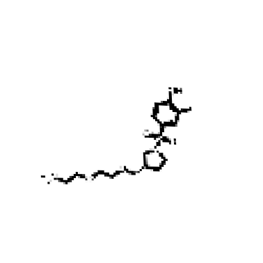 Cc1cc(S(=O)(=O)N2CC[C@H](COCCOCCN)C2)ccc1O